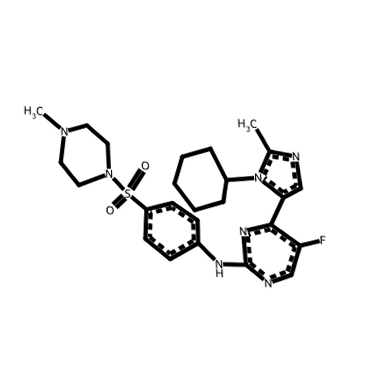 Cc1ncc(-c2nc(Nc3ccc(S(=O)(=O)N4CCN(C)CC4)cc3)ncc2F)n1C1CCCCC1